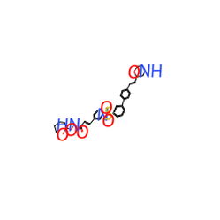 O=C(C=Cc1ccn(S(=O)(=O)c2cccc(-c3ccc(CCC4CNCCO4)cc3)c2)c1)NOC1CCCCO1